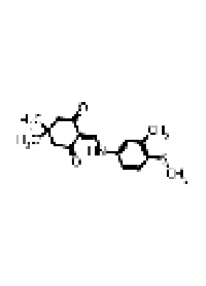 CSc1ccc(NC=C2C(=O)CC(C)(C)CC2=O)cc1C